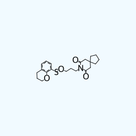 O=C1CC2(CCCC2)CC(=O)N1CCCOSc1cccc2c1OCCC2